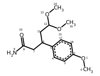 COc1ccc(C(CC(N)=O)CC(OC)OC)cc1